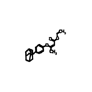 CCOC(=O)/C=C(/C)Oc1ccc(C23CC4CC(CC(C4)C2)C3)cc1